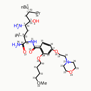 CCCC[C@@H](C[C@H](O)[C@@H](N)C[C@@H](C(C)C)C(NC(=O)c1ccc(OCCN2CCOCC2)cc1OCCCCOC)C(N)=O)C(C)C